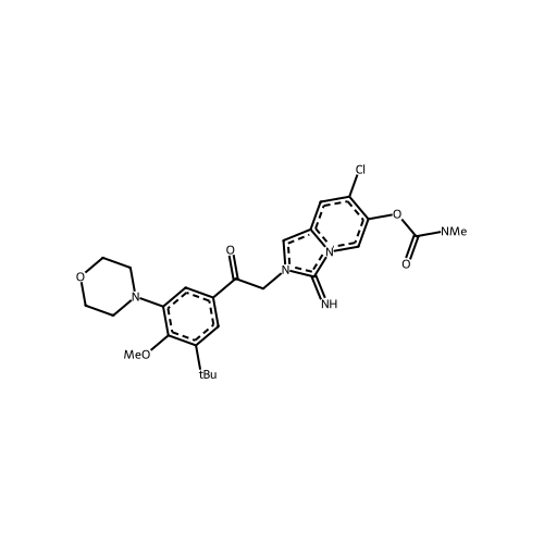 CNC(=O)Oc1cn2c(=N)n(CC(=O)c3cc(N4CCOCC4)c(OC)c(C(C)(C)C)c3)cc2cc1Cl